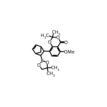 COc1ccc(C2C3C=CC(C3)C2B2OCC(C)(C)O2)c2c1C(=O)OC(C)(C)O2